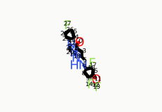 O=C1c2cc(CNc3ccc(OC(F)F)cc3F)nn2CCN1c1ccc(F)cc1